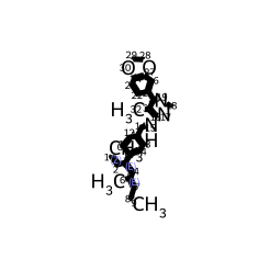 C\C=C/C(=C\C(C)=C\CC)c1ccc(CNc2ncnc(-c3ccc4c(c3)OCCO4)c2C)cc1